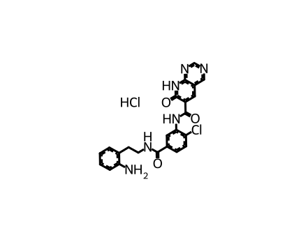 Cl.Nc1ccccc1CCNC(=O)c1ccc(Cl)c(NC(=O)c2cc3cncnc3[nH]c2=O)c1